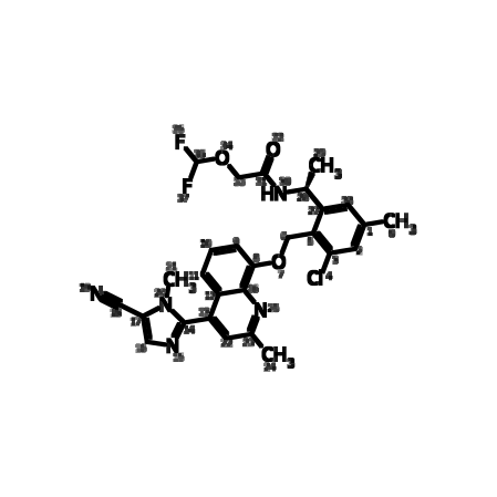 Cc1cc(Cl)c(COc2cccc3c(-c4ncc(C#N)n4C)cc(C)nc23)c([C@H](C)NC(=O)COC(F)F)c1